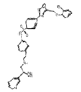 O=S(=O)(Nc1ccc(CCNCC(O)c2cccnc2)cc1)c1ccc(-c2noc(COc3ccccc3Cl)n2)cc1